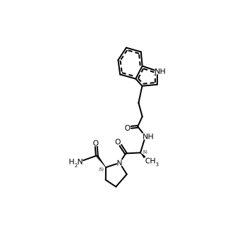 C[C@H](NC(=O)CCc1c[nH]c2ccccc12)C(=O)N1CCC[C@H]1C(N)=O